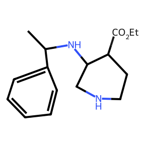 CCOC(=O)C1CCNCC1NC(C)c1ccccc1